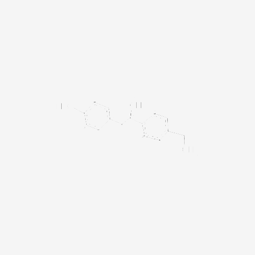 CCc1ccc(C(C)Cc2ccc(C)cc2)cc1